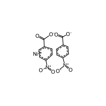 O=C([O-])c1ccc([N+](=O)[O-])cc1.O=C([O-])c1ccc([N+](=O)[O-])cc1.[Ni+2]